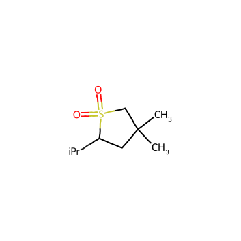 CC(C)C1CC(C)(C)CS1(=O)=O